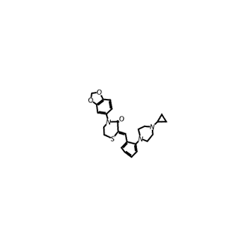 O=C1/C(=C/c2ccccc2N2CCN(C3CC3)CC2)SCCN1c1ccc2c(c1)OCO2